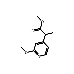 COC(=O)C(C)c1ccnc(OC)c1